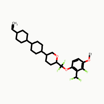 C=CC1CCC(C2CCC(C3CCC(C(F)(F)Oc4ccc(OCC)c(F)c4C(F)F)OC3)CC2)CC1